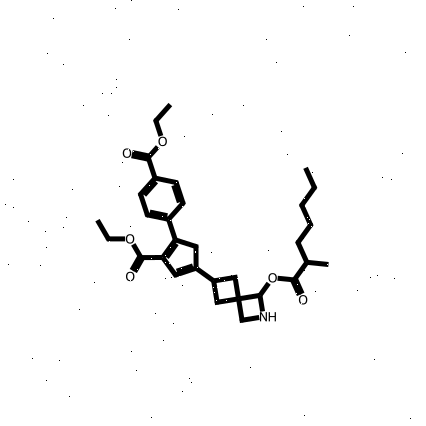 CCCCCC(C)C(=O)OC1NCC12CC(C1=CC(C(=O)OCC)=C(c3ccc(C(=O)OCC)cc3)C1)C2